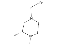 CC(C)CN1CCN(C)[C@H](C)C1